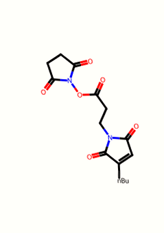 CCCCC1=CC(=O)N(CCC(=O)ON2C(=O)CCC2=O)C1=O